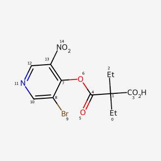 CCC(CC)(C(=O)O)C(=O)Oc1c(Br)cncc1[N+](=O)[O-]